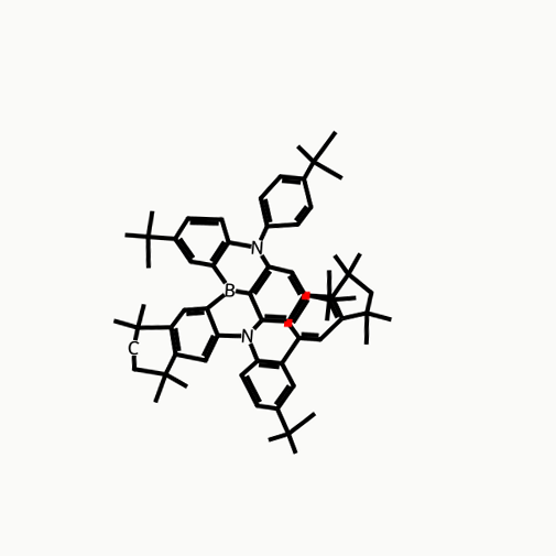 CC(C)(C)c1ccc(N2c3ccc(C(C)(C)C)cc3B3c4cc5c(cc4N(c4ccc(C(C)(C)C)cc4-c4ccc6c(c4)C(C)(C)CC6(C)C)c4cc(C(C)(C)C)cc2c43)C(C)(C)CCC5(C)C)cc1